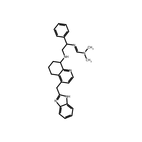 CN(C)C=NC(CNC1CCCc2c(Cc3nc4ccccc4[nH]3)ccnc21)c1ccccc1